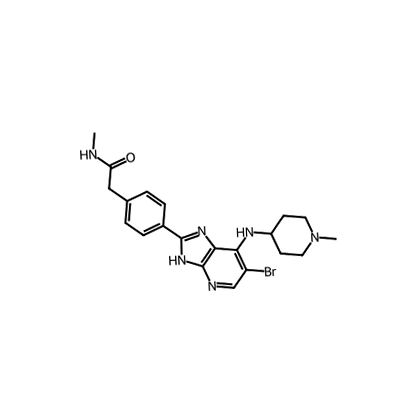 CNC(=O)Cc1ccc(-c2nc3c(NC4CCN(C)CC4)c(Br)cnc3[nH]2)cc1